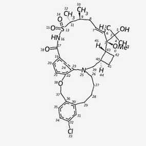 CO[C@]1(C(C)(C)O)/C=C/C[C@H](C)[C@@H](C)S(=O)(=O)NC(=O)c2ccc3c(c2)N(CCCCc2cc(Cl)ccc2CO3)C[C@@H]2CC[C@H]21